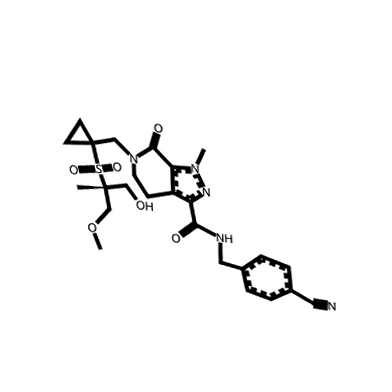 COC[C@@](C)(CO)S(=O)(=O)C1(CN2CCc3c(C(=O)NCc4ccc(C#N)cc4)nn(C)c3C2=O)CC1